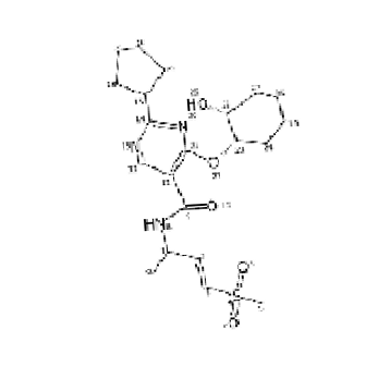 CC(/C=C/S(C)(=O)=O)NC(=O)c1cnc(C2CCCC2)nc1O[C@H]1CCCC[C@H]1O